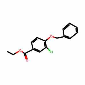 CCOC(=O)c1ccc(OCc2ccccc2)c(Cl)c1